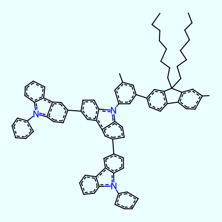 CCCCCCCCC1(CCCCCCCC)c2cc(C)ccc2-c2ccc(-c3cc(C)cc(-n4c5ccc(-c6ccc7c(c6)c6ccccc6n7-c6ccccc6)cc5c5cc(-c6ccc7c(c6)c6ccccc6n7-c6ccccc6)ccc54)c3)cc21